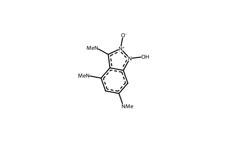 CNc1cc(NC)c2c(NC)[n+]([O-])n(O)c2c1